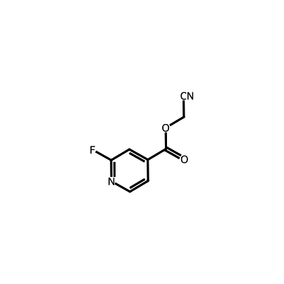 N#CCOC(=O)c1ccnc(F)c1